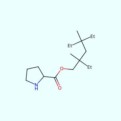 CCC(C)(CC)CC(C)(CC)COC(=O)C1CCCN1